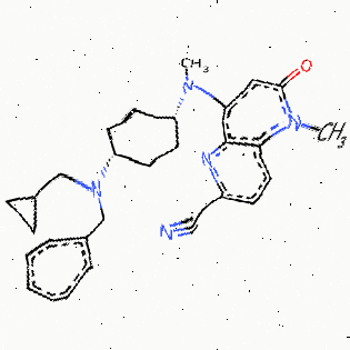 Cn1c(=O)cc(N(C)[C@H]2CC[C@@H](N(Cc3ccccc3)CC3CC3)CC2)c2nc(C#N)ccc21